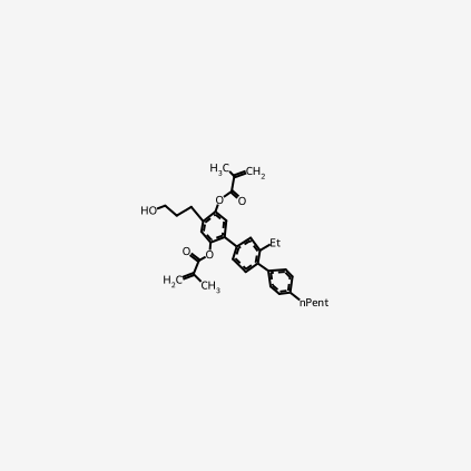 C=C(C)C(=O)Oc1cc(-c2ccc(-c3ccc(CCCCC)cc3)c(CC)c2)c(OC(=O)C(=C)C)cc1CCCO